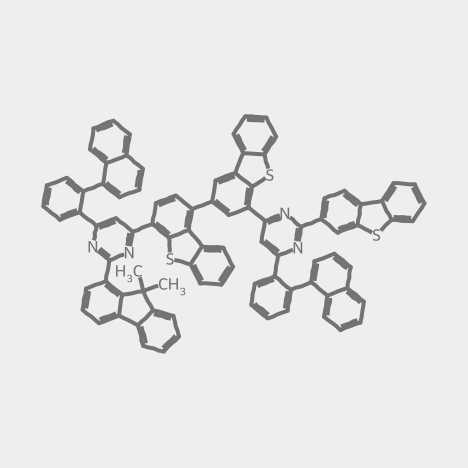 CC1(C)c2ccccc2-c2cccc(-c3nc(-c4ccccc4-c4cccc5ccccc45)cc(-c4ccc(-c5cc(-c6cc(-c7ccccc7-c7cccc8ccccc78)nc(-c7ccc8c(c7)sc7ccccc78)n6)c6sc7ccccc7c6c5)c5c4sc4ccccc45)n3)c21